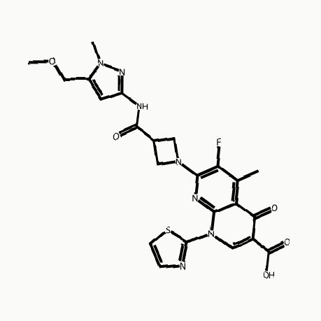 COCc1cc(NC(=O)C2CN(c3nc4c(c(C)c3F)c(=O)c(C(=O)O)cn4-c3nccs3)C2)nn1C